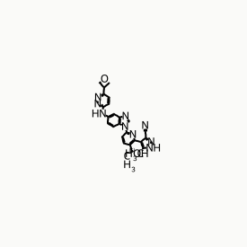 Cc1[nH]nc(C#N)c1-c1nc(-n2cnc3cc(Nc4ccc(C5COC5)nn4)ccc32)ccc1[C@H](C)O